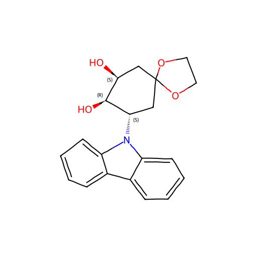 O[C@H]1[C@@H](O)CC2(C[C@@H]1n1c3ccccc3c3ccccc31)OCCO2